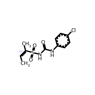 C/C=C(/C)S(=O)(=O)NC(=O)Nc1ccc(Cl)cc1